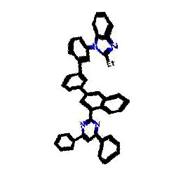 CCc1nc2ccccc2n1-c1cccc(-c2cccc(-c3cc(-c4nc(-c5ccccc5)cc(-c5ccccc5)n4)c4ccccc4c3)c2)c1